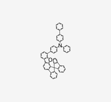 c1ccc(-c2ccc(N(c3ccccc3)c3ccc(-c4cccc5c4oc4c6c(ccc45)-c4ccccc4C64c5ccccc5-c5ccccc54)cc3)cc2)cc1